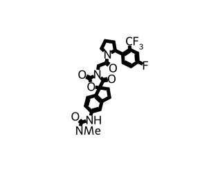 CNC(=O)Nc1ccc2c(c1)CCC21OC(=O)N(CC(=O)N2CCCC2c2ccc(F)cc2C(F)(F)F)C1=O